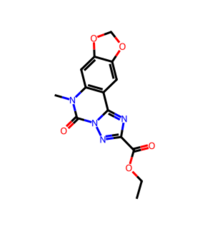 CCOC(=O)c1nc2c3cc4c(cc3n(C)c(=O)n2n1)OCO4